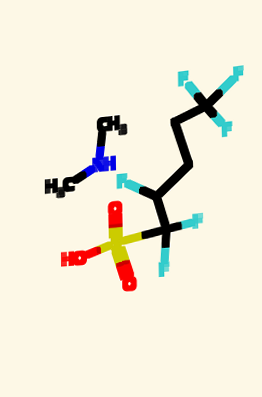 CNC.O=S(=O)(O)C(F)(F)C(F)CCC(F)(F)F